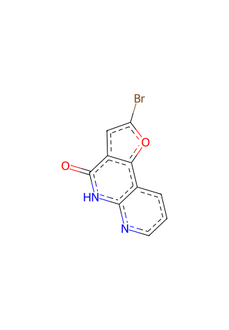 O=c1[nH]c2ncccc2c2oc(Br)cc12